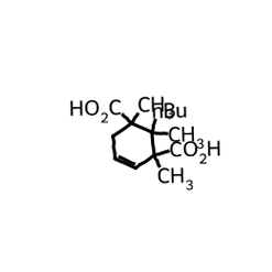 CCCCC1(C)C(C)(C(=O)O)C=CCC1(C)C(=O)O